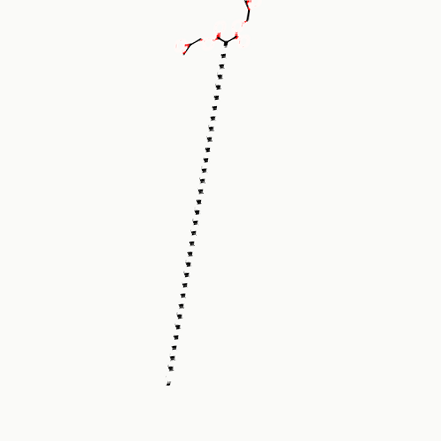 C=C=C=C=C=C=C=C=C=C=C=C=C=C=C=C=C=C=C=C=C=C=C=C=C=C=C=C=C=C=C=C=C=C(C(=O)OCC1CO1)C(=O)OCC1CO1